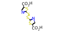 O=C(O)c1cnc(SSc2ncc(C(=O)O)s2)s1